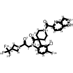 O=C(CN1C(=O)C2(CCN(C(=O)c3ccc4[nH]ncc4n3)CC2)c2c1ccc(F)c2Cl)N1CC(C(F)(F)F)C1